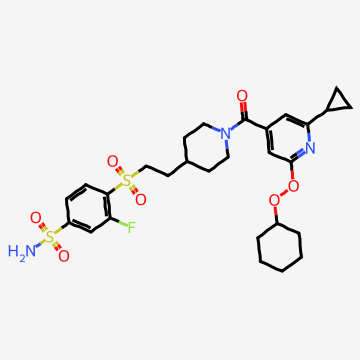 NS(=O)(=O)c1ccc(S(=O)(=O)CCC2CCN(C(=O)c3cc(OOC4CCCCC4)nc(C4CC4)c3)CC2)c(F)c1